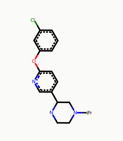 CC(C)N1CC[N]C(c2ccc(Oc3cccc(Cl)c3)nc2)C1